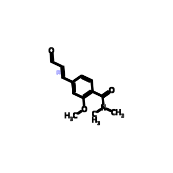 COc1cc(/C=C/C=O)ccc1C(=O)N(C)C